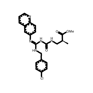 COC(=O)[C@@H](C)CNC(=O)N/C(=N\c1ccc2ncccc2c1)NCc1ccc(Cl)cc1